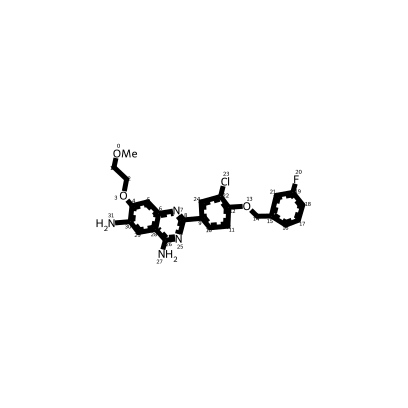 COCCOc1cc2nc(-c3ccc(OCc4cccc(F)c4)c(Cl)c3)nc(N)c2cc1N